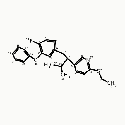 CCSc1ccc(C(Cc2ccc(F)c(Oc3ccccc3)c2)[C](C)C)cn1